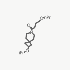 CCCOCCCC(=O)N1CCC2(CC1)CC(OC(C)C)C2